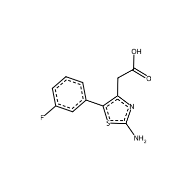 Nc1nc(CC(=O)O)c(-c2cccc(F)c2)s1